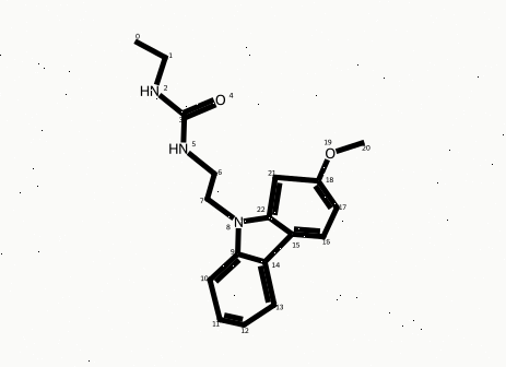 CCNC(=O)NCCn1c2ccccc2c2ccc(OC)cc21